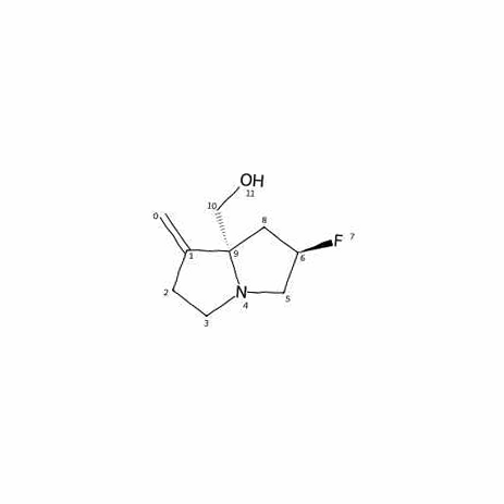 C=C1CCN2C[C@H](F)C[C@]12CO